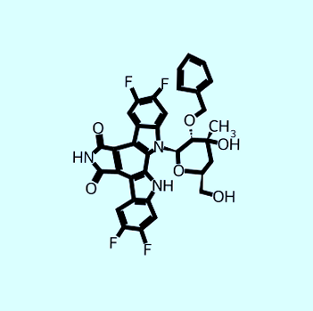 C[C@@]1(O)C[C@@H](CO)O[C@@H](n2c3cc(F)c(F)cc3c3c4c(c5c6cc(F)c(F)cc6[nH]c5c32)C(=O)NC4=O)[C@@H]1OCc1ccccc1